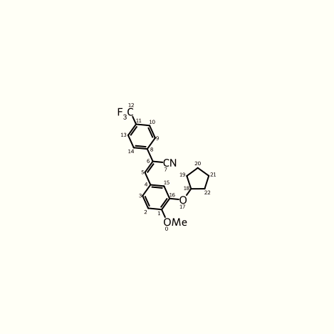 COc1ccc(/C=C(\C#N)c2ccc(C(F)(F)F)cc2)cc1OC1CCCC1